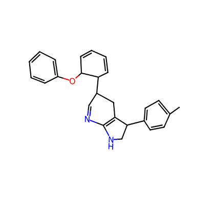 Cc1ccc(C2CNC3=C2CC(C2C=CC=CC2Oc2ccccc2)C=N3)cc1